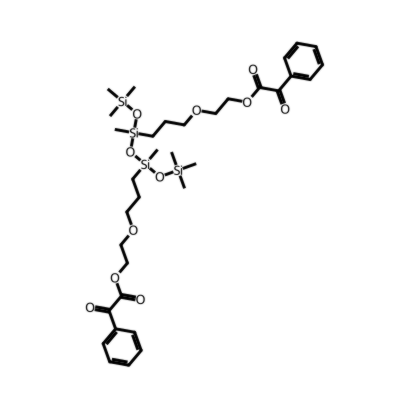 C[Si](C)(C)O[Si](C)(CCCOCCOC(=O)C(=O)c1ccccc1)O[Si](C)(CCCOCCOC(=O)C(=O)c1ccccc1)O[Si](C)(C)C